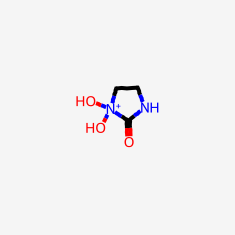 O=C1NCC[N+]1(O)O